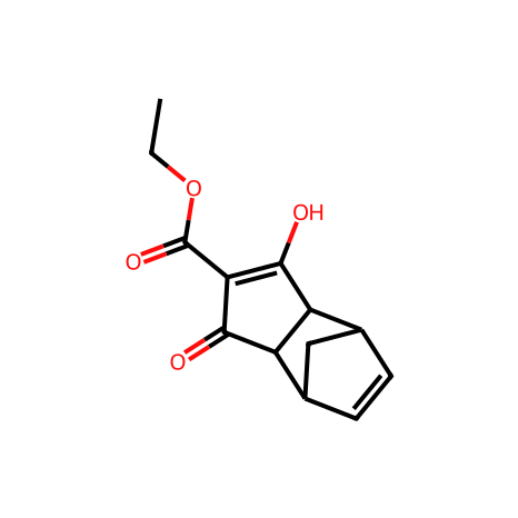 CCOC(=O)C1=C(O)C2C3C=CC(C3)C2C1=O